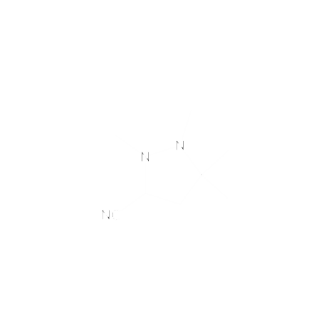 CN1C(C#N)CC(C)(C)N1C